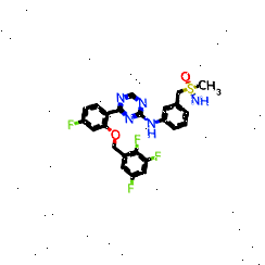 CS(=N)(=O)Cc1cccc(Nc2ncnc(-c3ccc(F)cc3OCc3cc(F)cc(F)c3F)n2)c1